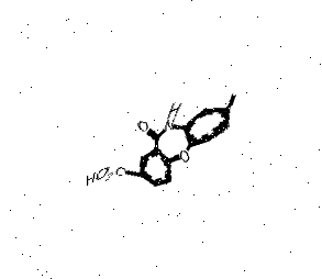 Cc1ccc2c(c1)NC(=O)c1cc(C(=O)O)ccc1O2